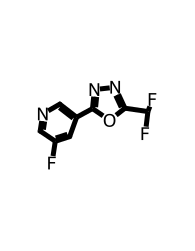 Fc1cncc(-c2nnc(C(F)F)o2)c1